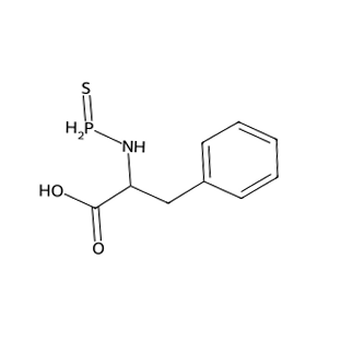 O=C(O)C(Cc1ccccc1)N[PH2]=S